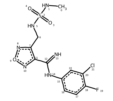 CNS(=O)(=O)NCc1nonc1C(=N)Nc1ccc(F)c(Cl)c1